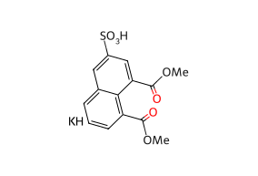 COC(=O)c1cccc2cc(S(=O)(=O)O)cc(C(=O)OC)c12.[KH]